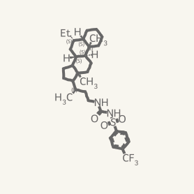 CC[C@H]1C[C@H]2C3CCC([C@H](C)CCNC(=O)NS(=O)(=O)c4ccc(C(F)(F)F)cc4)[C@@]3(C)CC[C@@H]2[C@@]2(C)CCCC[C@@H]12